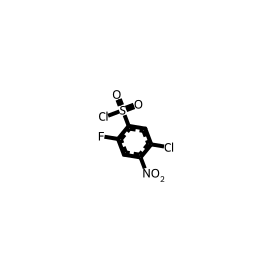 O=[N+]([O-])c1cc(F)c(S(=O)(=O)Cl)cc1Cl